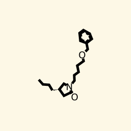 CCCC[C@H]1CC(=O)N(CCCCCOCc2ccccc2)C1